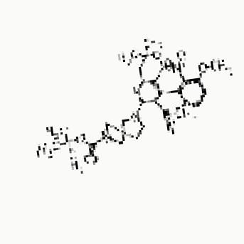 COc1ccc(C)c(-c2c(C#N)c(N3CCC4(CN(C(=O)OC(C)(C)C)C4)C3)nc3c2COC(C)(C)C3)c1[N+](=O)[O-]